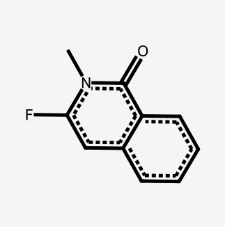 Cn1c(F)cc2ccccc2c1=O